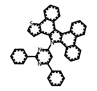 c1ccc(-c2cc(-n3c4c5ccccc5c5ccccc5c4c4c5ccccc5c5sccc5c43)nc(-c3ccccc3)n2)cc1